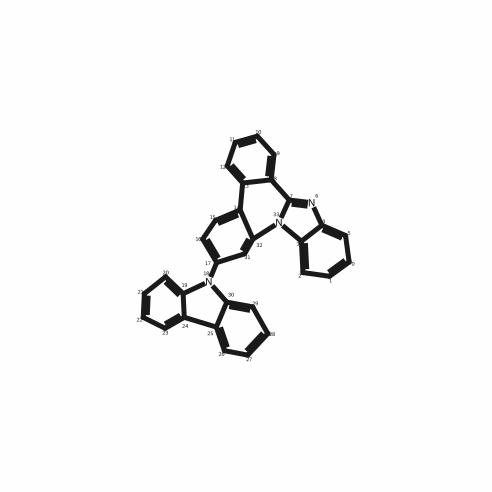 c1ccc2c(c1)nc1c3ccccc3c3ccc(-n4c5ccccc5c5ccccc54)cc3n21